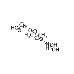 Cc1c(OCCCNCC(O)CO)cccc1-c1cccc(OCCCN2CCCC(C(=O)O)C2)c1C